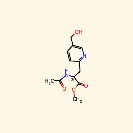 COC(=O)[C@H](Cc1ccc(CO)cn1)NC(C)=O